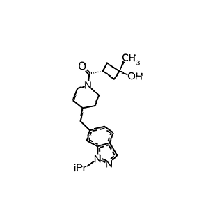 CC(C)n1ncc2ccc(CC3CCN(C(=O)[C@H]4C[C@@](C)(O)C4)CC3)cc21